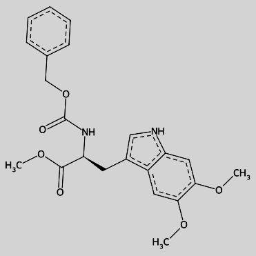 COC(=O)[C@H](Cc1c[nH]c2cc(OC)c(OC)cc12)NC(=O)OCc1ccccc1